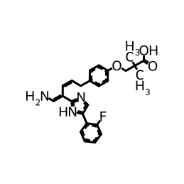 CC(C)(COc1ccc(C/C=C\C(=C/N)c2ncc(-c3ccccc3F)[nH]2)cc1)C(=O)O